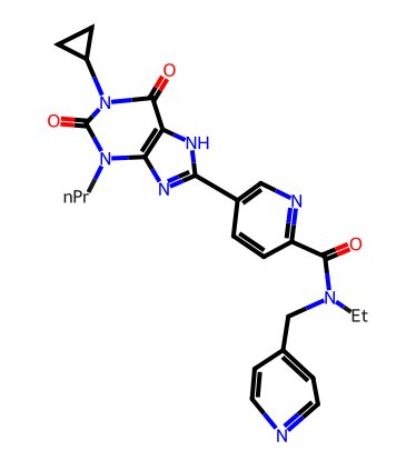 CCCn1c(=O)n(C2CC2)c(=O)c2[nH]c(-c3ccc(C(=O)N(CC)Cc4ccncc4)nc3)nc21